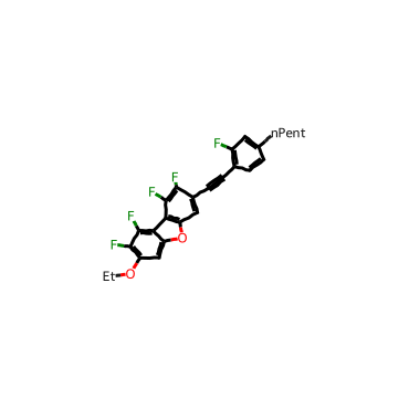 CCCCCc1ccc(C#Cc2cc3oc4cc(OCC)c(F)c(F)c4c3c(F)c2F)c(F)c1